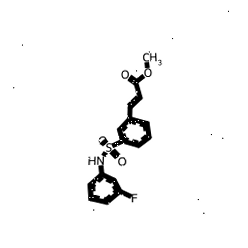 COC(=O)C=Cc1cccc(S(=O)(=O)Nc2cccc(F)c2)c1